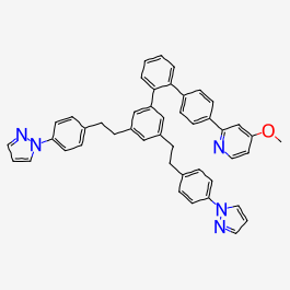 COc1ccnc(-c2ccc(-c3ccccc3-c3cc(CCc4ccc(-n5cccn5)cc4)cc(CCc4ccc(-n5cccn5)cc4)c3)cc2)c1